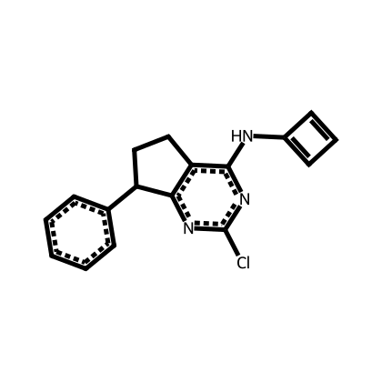 Clc1nc(NC2=CC=C2)c2c(n1)C(c1ccccc1)CC2